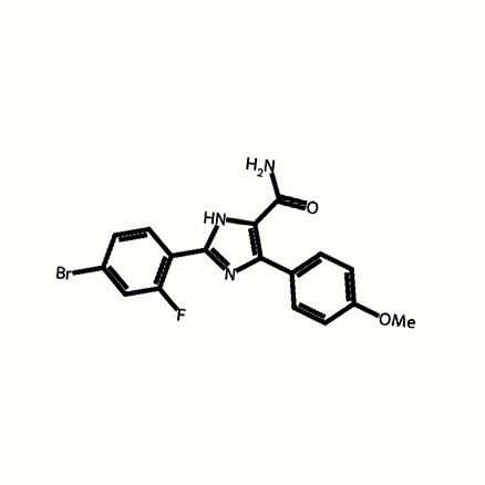 COc1ccc(-c2nc(-c3ccc(Br)cc3F)[nH]c2C(N)=O)cc1